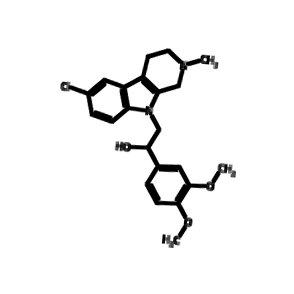 COc1ccc(C(O)Cn2c3c(c4cc(Cl)ccc42)CCN(C)C3)cc1OC